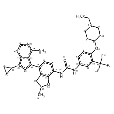 CCN1CCC(Oc2ccc(NC(=O)Nc3ccc(-c4cn(C5CC5)c5ncnc(N)c45)c4c3OC(C)C4)cc2C(F)(F)F)CC1